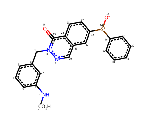 O=C(O)Nc1cccc(Cn2ncc3cc([S+]([O-])c4ccccc4)ccc3c2=O)c1